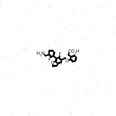 NCc1cccc(-c2c(F)c(COc3ccccc3CC(=O)O)cc3ccoc23)c1F